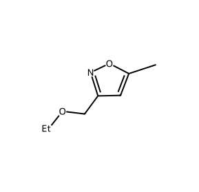 CCOCc1cc(C)on1